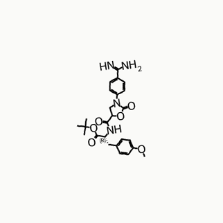 COc1ccc(C[C@@H](NC(=O)C2CN(c3ccc(C(=N)N)cc3)C(=O)O2)C(=O)OC(C)(C)C)cc1